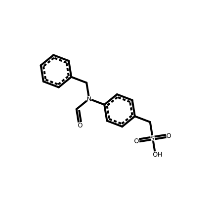 O=CN(Cc1ccccc1)c1ccc(CS(=O)(=O)O)cc1